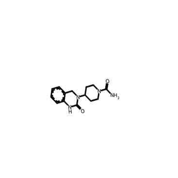 NC(=O)N1CCC(N2Cc3ccccc3NC2=O)CC1